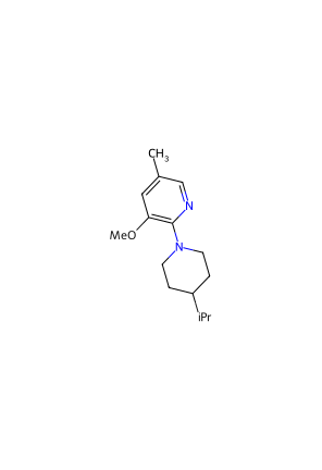 COc1cc(C)cnc1N1CCC(C(C)C)CC1